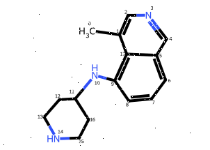 Cc1cncc2cccc(NC3CCNCC3)c12